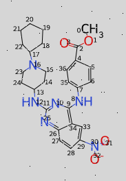 COC(=O)c1ccc(Nc2nc(NC3CCN(C4CCCCC4)CC3)nc3ccc([N+](=O)[O-])cc23)cc1